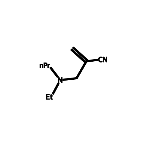 C=C(C#N)CN(CC)CCC